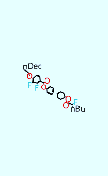 CCCCCCCCCCCCOc1ccc(C(=O)Oc2ccc([C@H]3CC[C@H](OC(=O)[C@@H](F)CCCC)CC3)cc2)c(F)c1F